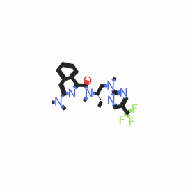 CC[C@@H](CN(C)c1ncc(C(F)(F)F)cn1)N(C)C(=O)c1nc(N(C)C)cc2ccccc12